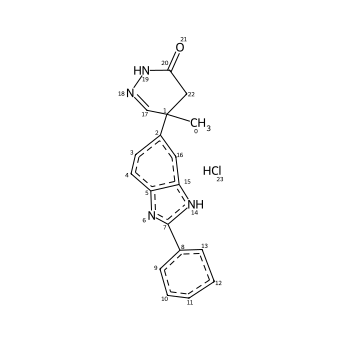 CC1(c2ccc3nc(-c4ccccc4)[nH]c3c2)C=NNC(=O)C1.Cl